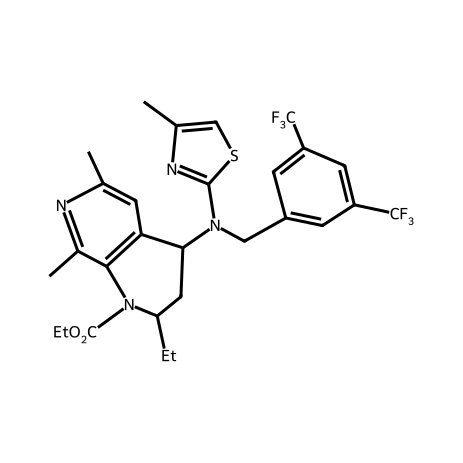 CCOC(=O)N1c2c(cc(C)nc2C)C(N(Cc2cc(C(F)(F)F)cc(C(F)(F)F)c2)c2nc(C)cs2)CC1CC